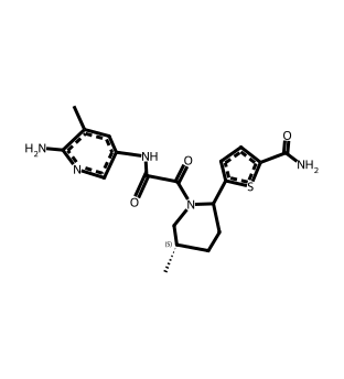 Cc1cc(NC(=O)C(=O)N2C[C@@H](C)CCC2c2ccc(C(N)=O)s2)cnc1N